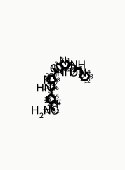 Cc1ncc(NC(=O)CN2CCCCC2)cc1NC(=O)c1cnc2[nH]c(-c3ccc(C(N)=O)c(F)c3)cc2c1